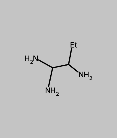 CCC(N)C(N)N